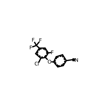 N#Cc1ccc(Oc2c(F)cc(C(F)(F)F)cc2Cl)cc1